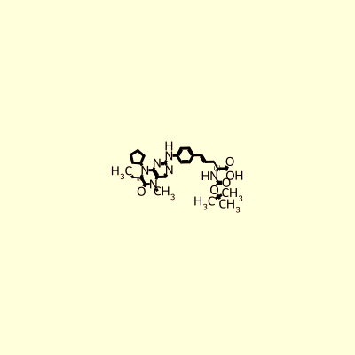 CC[C@@H]1C(=O)N(C)c2cnc(Nc3ccc(C=CC[C@H](NC(=O)OC(C)(C)C)C(=O)O)cc3)nc2N1C1CCCC1